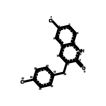 O=c1[nH]c2ccc(Cl)cc2cc1Cc1ccc(Cl)cc1